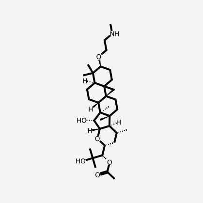 CNCCO[C@H]1CCC23C[C@]24CC[C@]2(C)[C@@H]5[C@H](O[C@@H]([C@H](OC(C)=O)C(C)(C)O)C[C@H]5C)[C@H](O)[C@@]2(C)[C@@H]4CC[C@H]3C1(C)C